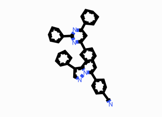 N#Cc1ccc(-c2cc3ccc(-c4cc(-c5ccccc5)nc(-c5ccccc5)n4)cc3c3c(-c4ccccc4)cnn23)cc1